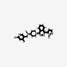 Cc1cc(F)ncc1CN(C)C1CCN(c2nnc(-c3ccnn3C)c3ccccc23)CC1